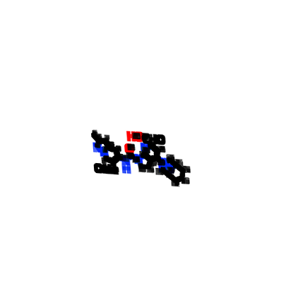 COc1cn2nc(C)cc2cc1NC(=O)N1CCc2c(N3CC4CCCC(C3)N4)ccnc21.O=CO